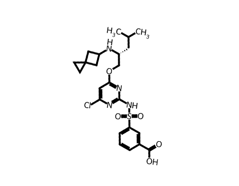 CC(C)C[C@H](COc1cc(Cl)nc(NS(=O)(=O)c2cccc(C(=O)O)c2)n1)NC1CC2(CC2)C1